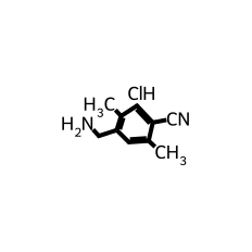 Cc1cc(CN)c(C)cc1C#N.Cl